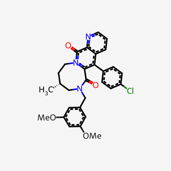 COc1cc(CN2C[C@H](C)CCn3c(c(-c4ccc(Cl)cc4)c4cccnc4c3=O)C2=O)cc(OC)c1